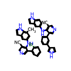 Cc1cc(Nc2c(C#N)cncc2-c2ccccc2Br)cc2cc[nH]c12.N#Cc1cncc(-c2cccc(-c3cc[nH]c3)c2)c1Nc1ccc2[nH]ccc2c1